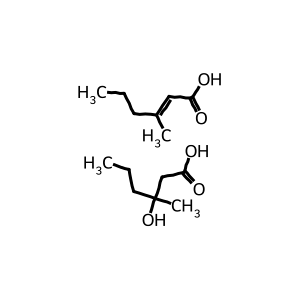 CCCC(C)(O)CC(=O)O.CCCC(C)=CC(=O)O